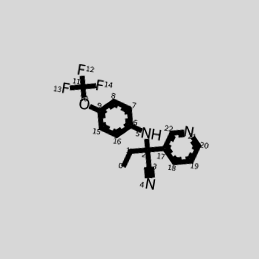 CCC(C#N)(Nc1ccc(OC(F)(F)F)cc1)c1cccnc1